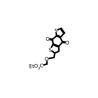 CCOC(=O)COCC1CC2=C(S1)C(=O)c1sccc1C2=O